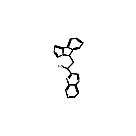 OC(CC1c2ccccc2-c2cncn21)c1cnc2ccccc2n1